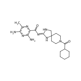 Cc1nc(C(=O)/N=C2\NCC3(CCN(C(=O)C4CCCCC4)CC3)N2)c(N)nc1N